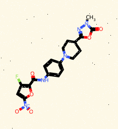 Cn1nc(C2CCN(c3ccc(NC(=O)c4oc([N+](=O)[O-])cc4F)cc3)CC2)oc1=O